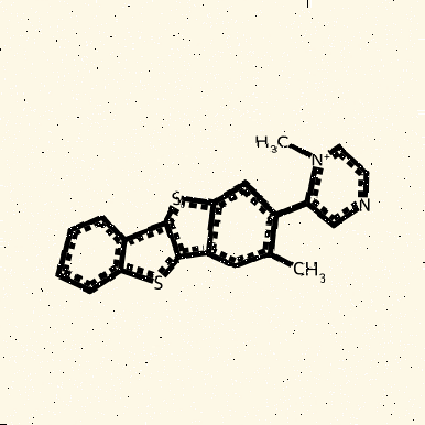 Cc1cc2c(cc1-c1cncc[n+]1C)sc1c3ccccc3sc21